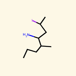 CCCC(C)C(N)CC(C)I